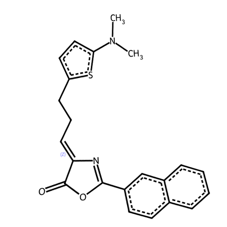 CN(C)c1ccc(CC/C=C2\N=C(c3ccc4ccccc4c3)OC2=O)s1